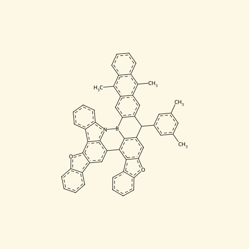 Cc1cc(C)cc(C2c3cc4c(C)c5ccccc5c(C)c4cc3B3c4c2cc2oc5ccccc5c2c4-c2cc4c5ccccc5oc4c4c5ccccc5n3c24)c1